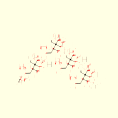 CCC(CC)(C(=O)[O-])C(O)(CC(=O)[O-])C(=O)[O-].CCC(CC)(C(=O)[O-])C(O)(CC(=O)[O-])C(=O)[O-].CCC(CC)(C(=O)[O-])C(O)(CC(=O)[O-])C(=O)[O-].CCC(CC)(C(=O)[O-])C(O)(CC(=O)[O-])C(=O)[O-].[Zr+4].[Zr+4].[Zr+4]